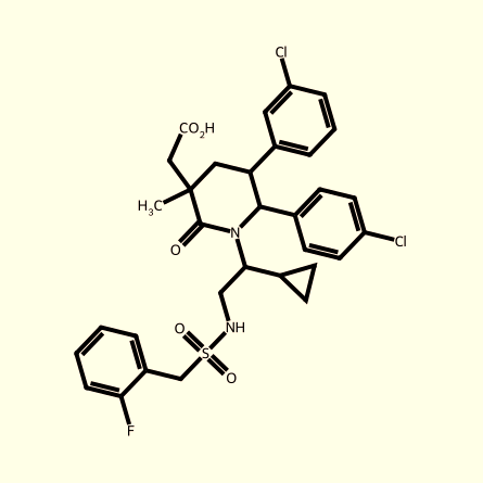 CC1(CC(=O)O)CC(c2cccc(Cl)c2)C(c2ccc(Cl)cc2)N(C(CNS(=O)(=O)Cc2ccccc2F)C2CC2)C1=O